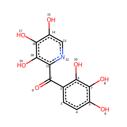 O=C(c1ccc(O)c(O)c1O)c1ncc(O)c(O)c1O